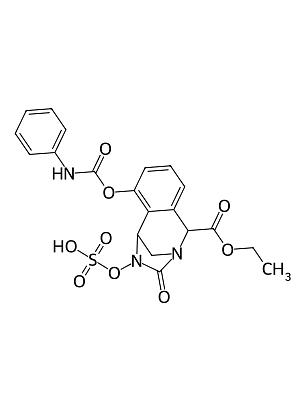 CCOC(=O)C1c2cccc(OC(=O)Nc3ccccc3)c2C2CN1C(=O)N2OS(=O)(=O)O